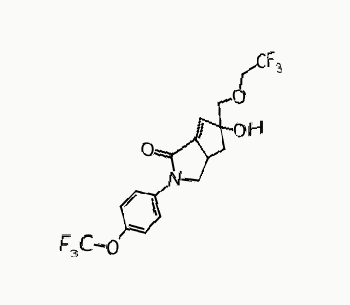 O=C1C2=CC(O)(COCC(F)(F)F)CC2CN1c1ccc(OC(F)(F)F)cc1